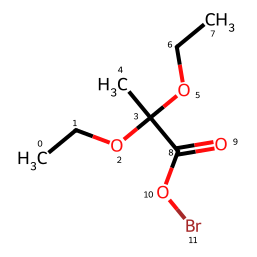 CCOC(C)(OCC)C(=O)OBr